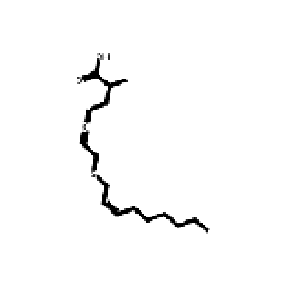 CCCCCC/C=C\CSCC=C=CCC(C)C(=O)O